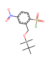 CC(C)(C)[Si](C)(C)OCc1cc([N+](=O)[O-])ccc1S(=O)(=O)Cl